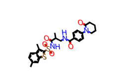 Cc1ccc2c(C)c(S(=O)(=O)NC(=O)C(C)CNC(=O)c3ccc(N4CCCCC4=O)cc3)sc2c1